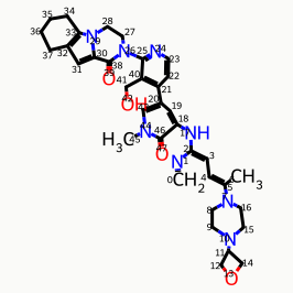 C=N/C(=C\C=C(/C)N1CCN(C2COC2)CC1)Nc1cc(-c2ccnc(N3CCn4c(cc5c4CCCC5)C3=O)c2CO)cn(C)c1=O